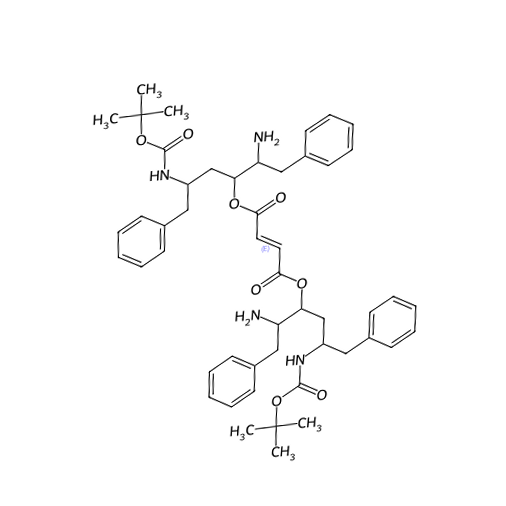 CC(C)(C)OC(=O)NC(Cc1ccccc1)CC(OC(=O)/C=C/C(=O)OC(CC(Cc1ccccc1)NC(=O)OC(C)(C)C)C(N)Cc1ccccc1)C(N)Cc1ccccc1